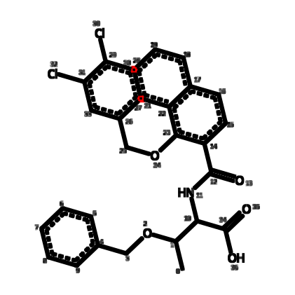 CC(OCc1ccccc1)C(NC(=O)c1ccc2ccccc2c1OCc1ccc(Cl)c(Cl)c1)C(=O)O